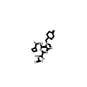 C=C1CCC(Cn2cnc3nc(-c4noc(=O)[nH]4)nc(N[C@H](C)C4CCC4)c32)CC1